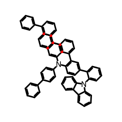 c1ccc(-c2ccc(N(c3ccc(-c4cccc(-c5ccccc5)c4)cc3)c3ccc(-c4ccccc4-n4c5ccccc5c5ccccc54)cc3-c3cccc(-c4ccccc4)c3)cc2)cc1